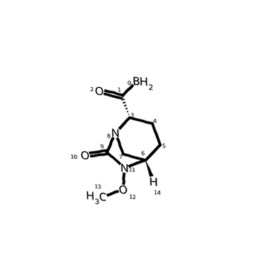 BC(=O)[C@@H]1CC[C@H]2CN1C(=O)N2OC